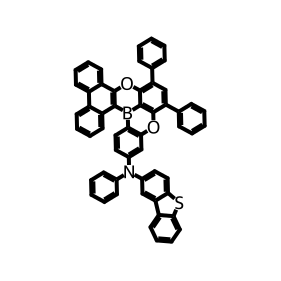 c1ccc(-c2cc(-c3ccccc3)c3c4c2Oc2cc(N(c5ccccc5)c5ccc6sc7ccccc7c6c5)ccc2B4c2c(c4ccccc4c4ccccc24)O3)cc1